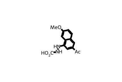 COc1ccc2cc(C(C)=O)cc(NNC(=O)O)c2c1